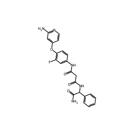 NC(=O)C(NC(=O)CC(=O)Nc1ccc(Oc2ccnc(N)c2)c(F)c1)c1ccccc1